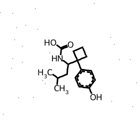 CC(C)CC(NC(=O)O)C1(c2ccc(O)cc2)CCC1